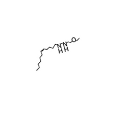 CCCCCC/C=C\CCCCNCNCCOCC